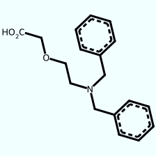 O=[14C](O)COCCN(Cc1ccccc1)Cc1ccccc1